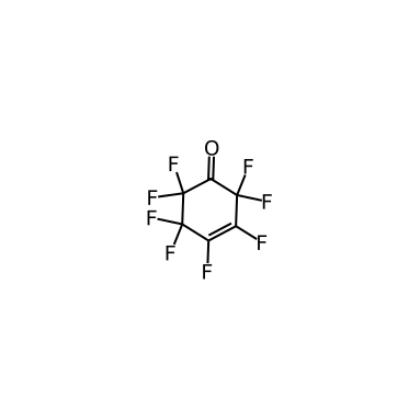 O=C1C(F)(F)C(F)=C(F)C(F)(F)C1(F)F